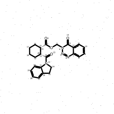 O=C(OCn1nnc2ccccc2c1=O)[C@H]1CCCC[C@H]1C(=O)N1CCc2ccccc21